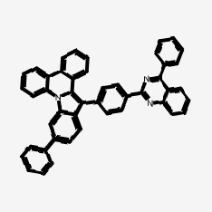 c1ccc(-c2ccc3c(-c4ccc(-c5nc(-c6ccccc6)c6ccccc6n5)cc4)c4c5ccccc5c5ccccc5n4c3c2)cc1